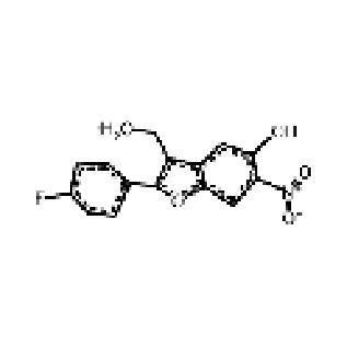 [CH2]Cc1c(-c2ccc(F)cc2)oc2cc([N+](=O)[O-])c(O)cc12